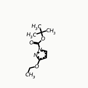 CCOc1ccn(C(=O)OC(C)(C)C)n1